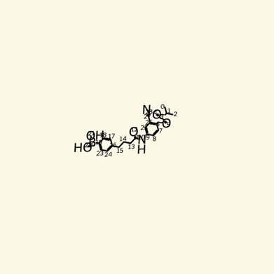 CC(C)S(=O)(=O)c1ccc(NC(=O)CCCc2ccc(B(O)O)cc2)cc1C#N